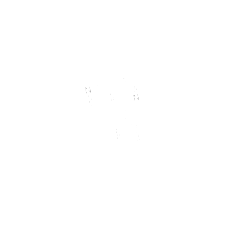 c1ccc(-c2nccc3cnccc23)cc1